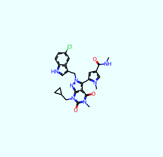 CNC(=O)c1cc(-c2c3c(=O)n(C)c(=O)n(CC4CC4)c3nn2Cc2c[nH]c3ccc(Cl)cc23)n(C)c1